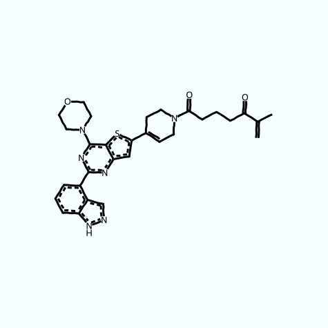 C=C(C)C(=O)CCCC(=O)N1CC=C(c2cc3nc(-c4cccc5[nH]ncc45)nc(N4CCOCC4)c3s2)CC1